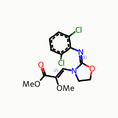 COC(=O)/C(=C/N1CCO/C1=N/c1c(Cl)cccc1Cl)OC